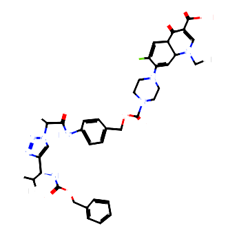 CCN1C=C(C(=O)O)C(=O)C2C=C(F)C(N3CCN(C(=O)OCc4ccc(NC(=O)C(C)n5cc([C@@H](NC(=O)OCc6ccccc6)C(C)C)nn5)cc4)CC3)=CC21